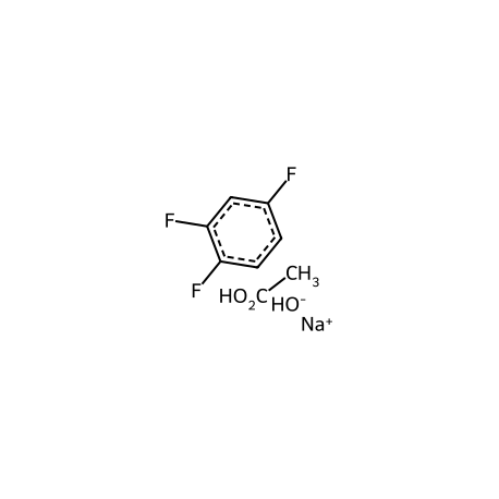 CC(=O)O.Fc1ccc(F)c(F)c1.[Na+].[OH-]